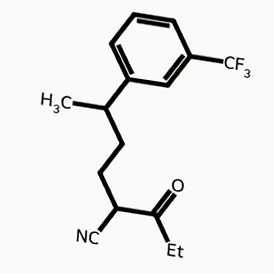 CCC(=O)C(C#N)CCC(C)c1cccc(C(F)(F)F)c1